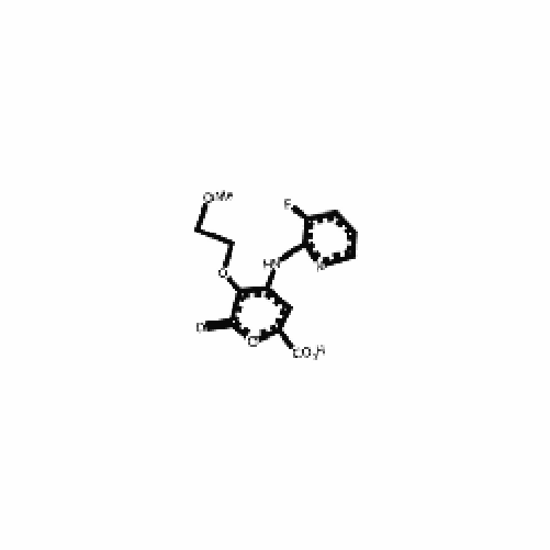 COCCOc1c(Nc2ncccc2F)cc(C(=O)O)oc1=O